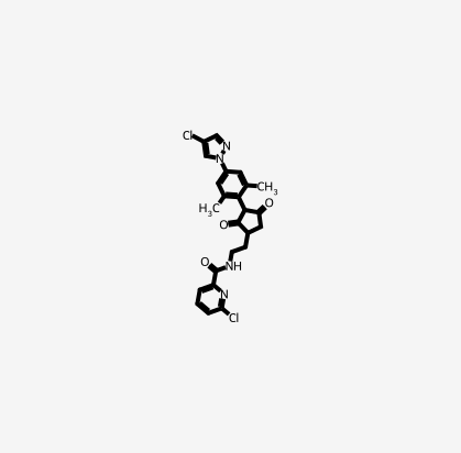 Cc1cc(-n2cc(Cl)cn2)cc(C)c1C1C(=O)CC(CCNC(=O)c2cccc(Cl)n2)C1=O